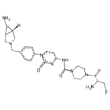 NC(CF)C(=O)N1CCN(C(=O)Nc2ccn(-c3ccc(CN4CC5C(N)[C@@H]5C4)cc3)c(=O)n2)CC1